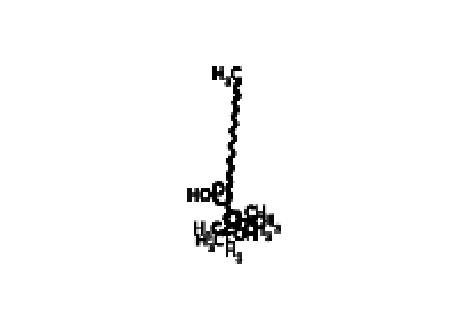 CCCCCCCCCCCCCCCCCCC(CC(=O)O)c1cc(C(C)(C)C)c(O)c(C(C)(C)C)c1